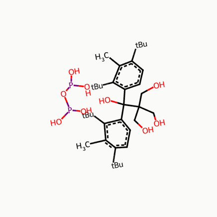 Cc1c(C(C)(C)C)ccc(C(O)(c2ccc(C(C)(C)C)c(C)c2C(C)(C)C)C(CO)(CO)CO)c1C(C)(C)C.OP(O)OP(O)O